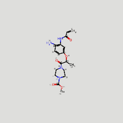 C=CC(=O)Nc1cc(OC(C)C(=O)N2CCN(C(=O)OC(C)(C)C)CC2)ccc1N